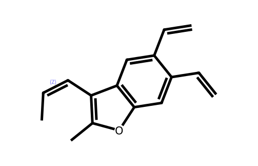 C=Cc1cc2oc(C)c(/C=C\C)c2cc1C=C